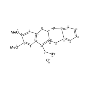 COc1cc2c(cc1OC)C(CC(C)C)=[N+](Cc1ccccc1F)CC2.[Cl-]